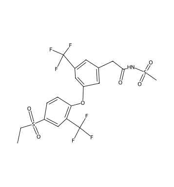 CCS(=O)(=O)c1ccc(Oc2cc(CC(=O)NS(C)(=O)=O)cc(C(F)(F)F)c2)c(C(F)(F)F)c1